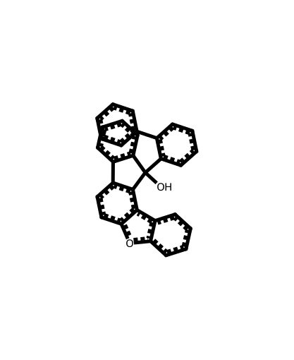 OC1(c2ccccc2-c2ccccc2)c2ccccc2-c2ccc3oc4ccccc4c3c21